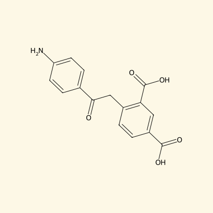 Nc1ccc(C(=O)Cc2ccc(C(=O)O)cc2C(=O)O)cc1